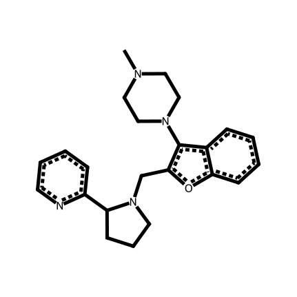 CN1CCN(c2c(CN3CCCC3c3ccccn3)oc3ccccc23)CC1